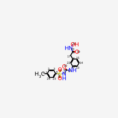 Cc1ccc(S(=O)(=O)NC(=O)Nc2cccc(CC(=O)NO)c2)cc1